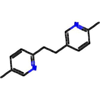 Cc1ccc(CCc2ccc(C)nc2)nc1